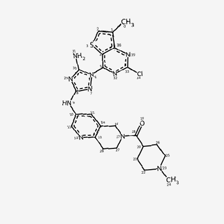 Cc1csc2c(-n3nc(Nc4cnc5c(c4)CN(C(=O)C4CCN(C)CC4)CC5)nc3N)nc(Cl)nc12